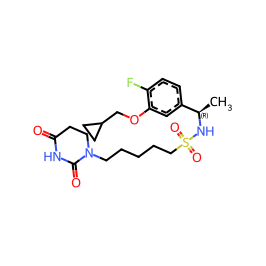 C[C@@H](NS(=O)(=O)CCCCCN1CCC(=O)NC1=O)c1ccc(F)c(OCC2CC2)c1